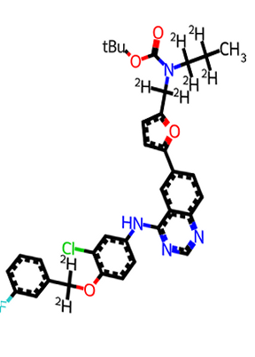 [2H]C([2H])(Oc1ccc(Nc2ncnc3ccc(-c4ccc(C([2H])([2H])N(C(=O)OC(C)(C)C)C([2H])([2H])C([2H])([2H])C)o4)cc23)cc1Cl)c1cccc(F)c1